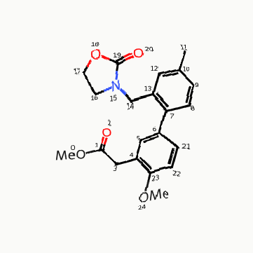 COC(=O)Cc1cc(-c2ccc(C)cc2CN2CCOC2=O)ccc1OC